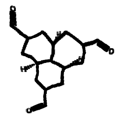 O=CC1C[C@H]2CC(C=O)C[C@H]3CC(C=O)C[C@@H](C1)C32